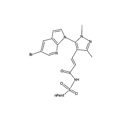 CCCCCS(=O)(=O)NC(=O)C=Cc1c(C)nn(C)c1-n1ccc2cc(Br)cnc21